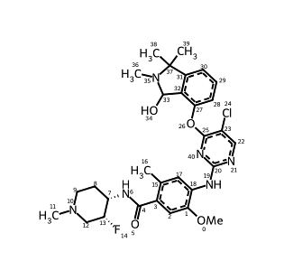 COc1cc(C(=O)N[C@H]2CCN(C)C[C@H]2F)c(C)cc1Nc1ncc(Cl)c(Oc2cccc3c2C(O)N(C)C3(C)C)n1